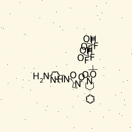 Cc1nc(N)ccc1CNC(=O)[C@@H]1CCN1C(=O)[C@H]1C[C@@H](c2ccccc2)CCN1C(=O)OC(C)(C)C.O=C(O)C(F)(F)F.O=C(O)C(F)(F)F